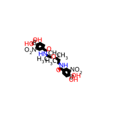 CC(C)(COC(C)(C)CCNC(=O)c1ccc(B(O)O)c([N+](=O)[O-])c1)NC(=O)c1ccc(B(O)O)c([N+](=O)[O-])c1